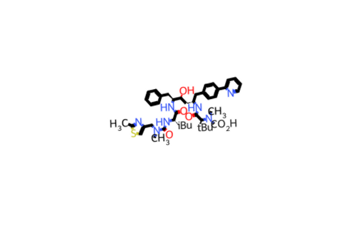 CCC(C)[C@H](NC(=O)N(C)Cc1csc(C)n1)C(=O)N[C@@H](Cc1ccccc1)[C@@H](O)C[C@H](Cc1ccc(-c2ccccn2)cc1)NC(=O)[C@@H](N(C)C(=O)O)C(C)(C)C